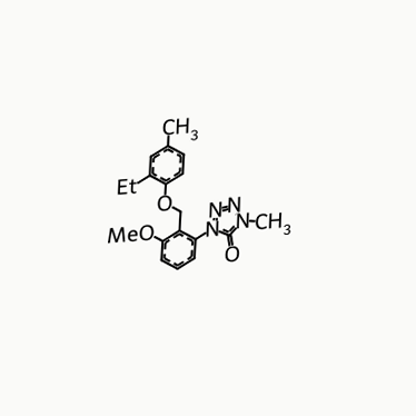 CCc1cc(C)ccc1OCc1c(OC)cccc1-n1nnn(C)c1=O